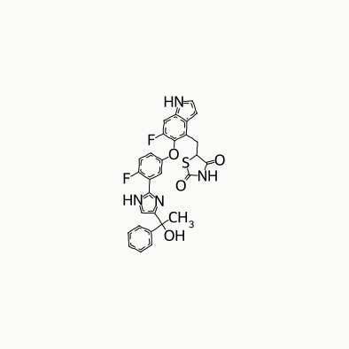 CC(O)(c1ccccc1)c1c[nH]c(-c2cc(Oc3c(F)cc4[nH]ccc4c3CC3SC(=O)NC3=O)ccc2F)n1